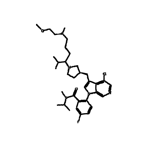 COCCN(C)CCCC(C(C)C)N1CC[C@H](Cc2cn(-c3ccc(F)cc3C(=O)N(C)C(C)C)c3cncc(Cl)c23)C1